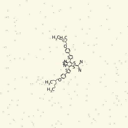 CCCCC(CC)COc1ccc(-c2ccc(-c3c4c(c(-c5ccc(-c6ccc(OCC(CC)CCCC)cc6)s5)c5nsnc35)SC(=C(C#N)C#N)S4)s2)cc1